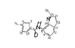 Cc1ccc(C(=O)Nc2cccc3ccc(C)nc23)cc1